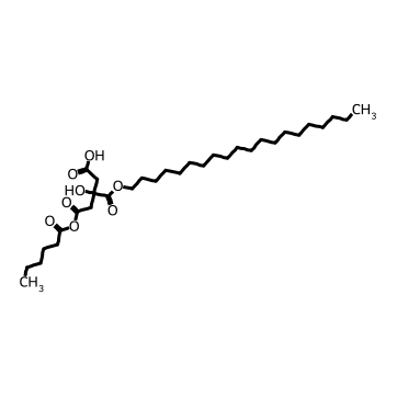 CCCCCCCCCCCCCCCCCCCCOC(=O)C(O)(CC(=O)O)CC(=O)OC(=O)CCCCC